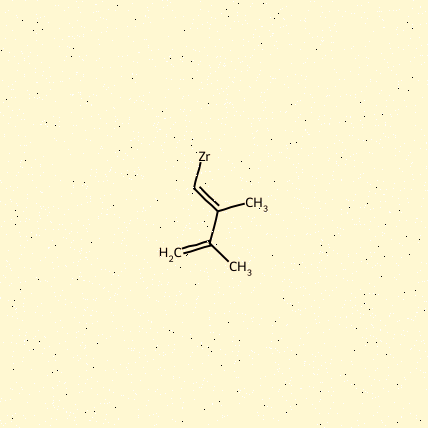 C=C(C)C(C)=[CH][Zr]